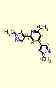 Cc1cc(-c2cnn(C)c2)cc(-c2cnn(C)c2)n1